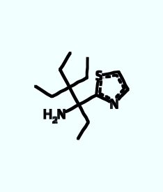 CCC(CC)(CC)C(N)(CC)c1nccs1